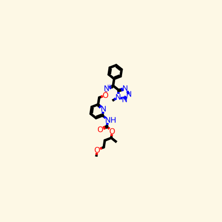 COCCC(C)OC(=O)Nc1cccc(CO/N=C(/c2ccccc2)c2nnnn2C)n1